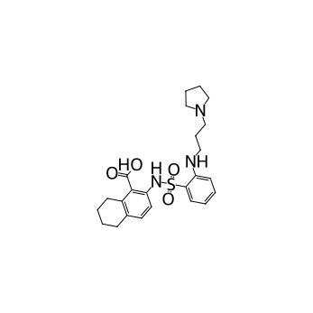 O=C(O)c1c(NS(=O)(=O)c2ccccc2NCCCN2CCCC2)ccc2c1CCCC2